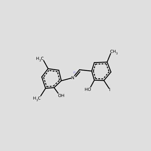 Cc1cc(I)c(O)c(/C=N/c2cc(C)cc(C)c2O)c1